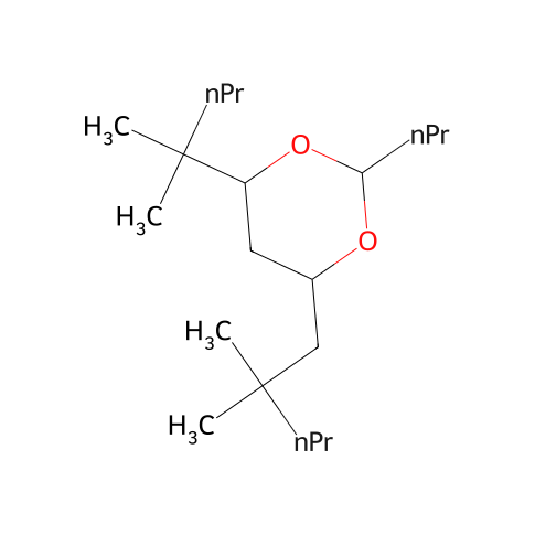 CCCC1OC(CC(C)(C)CCC)CC(C(C)(C)CCC)O1